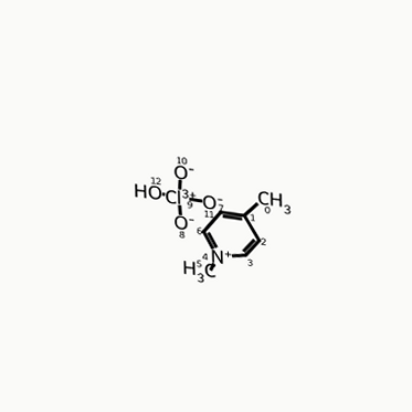 Cc1cc[n+](C)cc1.[O-][Cl+3]([O-])([O-])O